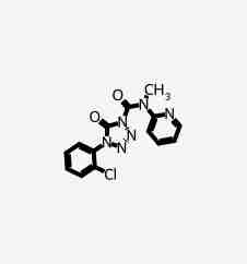 CN(C(=O)n1nnn(-c2ccccc2Cl)c1=O)c1ccccn1